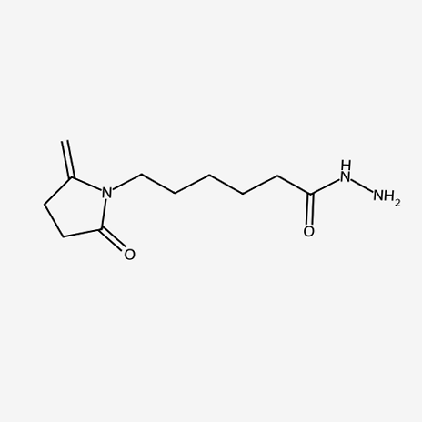 C=C1CCC(=O)N1CCCCCC(=O)NN